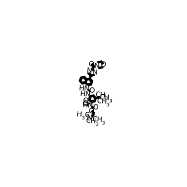 COc1c(NC(=O)Nc2ccc(-c3cnc(C(=O)N4CCOCC4)nc3)c3ccccc23)cc(C(C)(C)C)cc1NC(=O)OCC(C)N(C)C